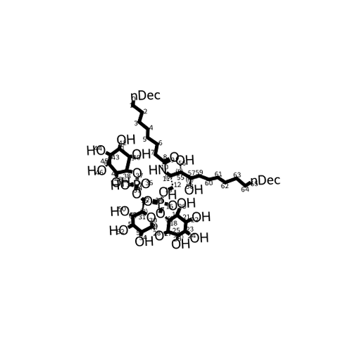 CCCCCCCCCCCCCCCCCC(=O)N[C@@H](COP(=O)(O)O[C@H]1C(O)C(O)C(O)[C@@H](O)C1O[C@H]1O[C@H](COP(=O)(O)OC2C(O)C(O)C(O)[C@@H](O)C2O)[C@@H](O)C(O)C1O)[C@H](O)[C@H](O)CCCCCCCCCCCCCCCC